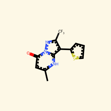 Cc1cc(=O)n2nc(C(F)(F)F)c(-c3cccs3)c2[nH]1